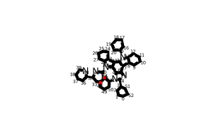 c1ccc(-c2nc3c4c5ccccc5n(-c5ccccc5)c4c4c5ccccc5n(-c5nccc(-c6ccccn6)n5)c4c3n2-c2ccccc2)cc1